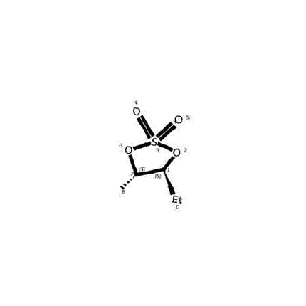 CC[C@@H]1OS(=O)(=O)O[C@H]1C